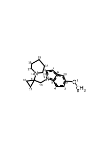 COc1ccc2c(ccn2CC2(N3CCCCC3)CC2)c1